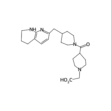 O=C(O)CN1CCC(C(=O)N2CCC(Cc3ccc4c(n3)NCCC4)CC2)CC1